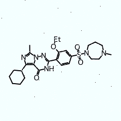 CCOc1cc(S(=O)(=O)N2CCCN(C)CC2)ccc1-c1nn2c(C)nc(C3CCCCC3)c2c(=O)[nH]1